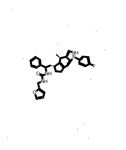 C[C@H]1C2=CNN(c3ccc(F)cc3)C2=CC2=C1[C@@H](CC(NC(=O)NCc1ccco1)c1ccccc1)CC2